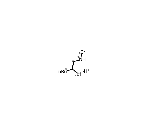 CCCCC(CC)CNBr.[H+]